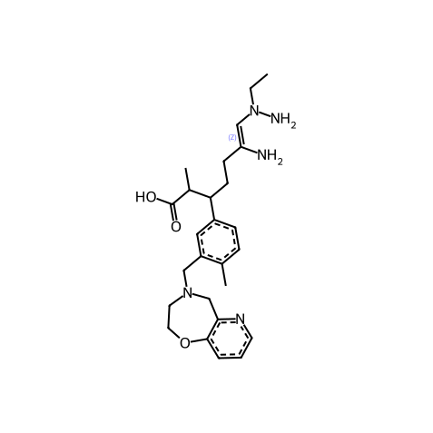 CCN(N)/C=C(\N)CCC(c1ccc(C)c(CN2CCOc3cccnc3C2)c1)C(C)C(=O)O